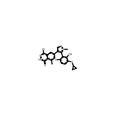 CCc1n[nH]c(=O)c2c(C)cc(-c3cnn(C)c3-c3c(F)ccc(OC4CC4)c3C#N)cc12